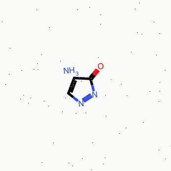 N.O=C1C=CN=N1